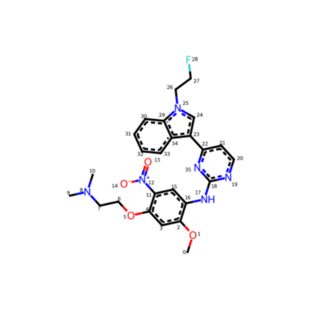 COc1cc(OCCN(C)C)c([N+](=O)[O-])cc1Nc1nccc(-c2cn(CCF)c3ccccc23)n1